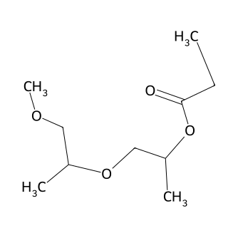 CCC(=O)OC(C)COC(C)COC